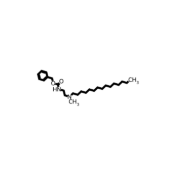 CCCCCCCCCCCCCCCN(C)CCNC(=O)OCc1ccccc1